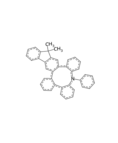 CC1(C)c2ccccc2-c2cc3c4ccccc4c4ccccc4n(-c4ccccc4)c4ccccc4c3cc21